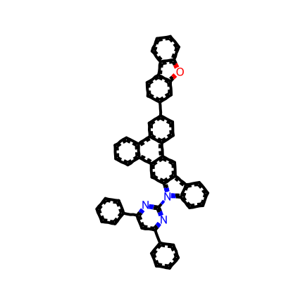 c1ccc(-c2cc(-c3ccccc3)nc(-n3c4ccccc4c4cc5c6ccc(-c7ccc8c(c7)oc7ccccc78)cc6c6ccccc6c5cc43)n2)cc1